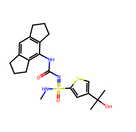 CNS(=O)(=NC(=O)Nc1c2c(cc3c1CCC3)CCC2)c1cc(C(C)(C)O)cs1